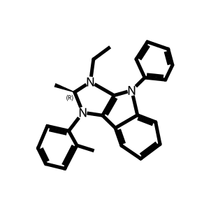 CCN1c2c(c3ccccc3n2-c2ccccc2)N(c2ccccc2C)[C@H]1C